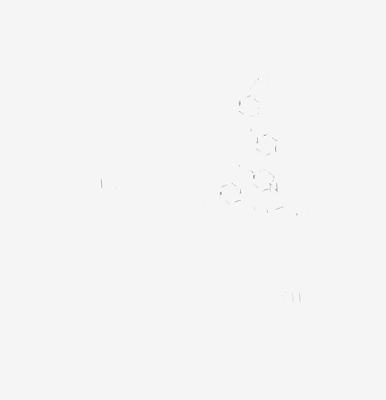 CCCCCCCCCOc1ccc(-c2cn(CC(=O)O)cc(-c3cccc(Oc4ccc(OC)cc4)c3)c2=O)c(OCCCCCCCCC)c1